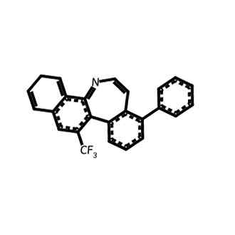 FC(F)(F)c1cc2c(c3c1-c1cccc(-c4ccccc4)c1C=CN=3)=CCC=C2